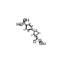 CC(C)(C)OC(=O)N1CCC(c2ccc(B(O)O)cc2)C1